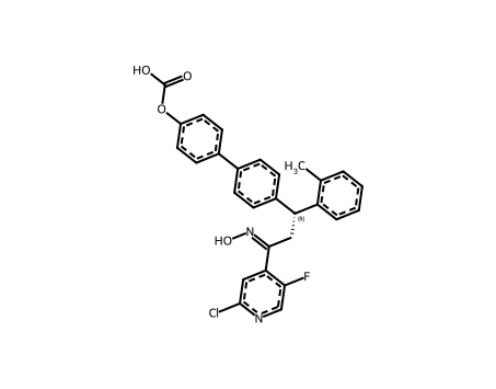 Cc1ccccc1[C@H](CC(=NO)c1cc(Cl)ncc1F)c1ccc(-c2ccc(OC(=O)O)cc2)cc1